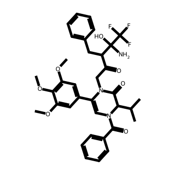 COc1cc(C2=CN(C(=O)c3ccccc3)C(C(C)C)C(=O)N2CC(=O)C(Cc2ccccc2)C(N)(O)C(F)(F)F)cc(OC)c1OC